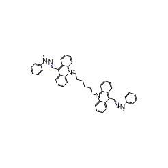 CN(/N=C/c1c2ccccc2[n+](CCCCCC[n+]2c3ccccc3c(/C=N/N(C)c3ccccc3)c3ccccc32)c2ccccc12)c1ccccc1